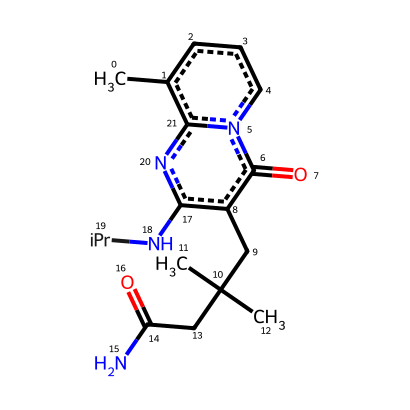 Cc1cccn2c(=O)c(CC(C)(C)CC(N)=O)c(NC(C)C)nc12